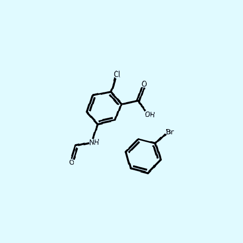 Brc1ccccc1.O=CNc1ccc(Cl)c(C(=O)O)c1